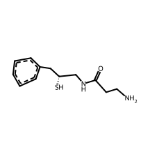 NCCC(=O)NC[C@H](S)Cc1ccccc1